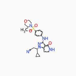 C[C@H]1COCCN1S(=O)(=O)c1ccc(Nc2nn(C(CC#N)C3CC3)c3cc[nH]c(=O)c23)cc1